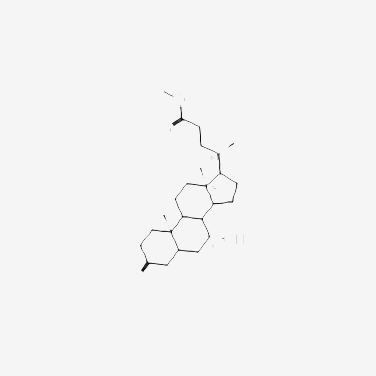 COC(=O)CC[C@@H](C)C1CCC2C3C(CC[C@@]21C)[C@@]1(C)CCC(=O)CC1C[C@H]3O